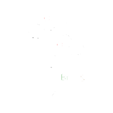 C/C=C\C(C)=C(/Br)C1=CCCC=C1/C(=C(\C)C=S)c1cccc2c1oc1c2ccc2oc3ccccc3c21